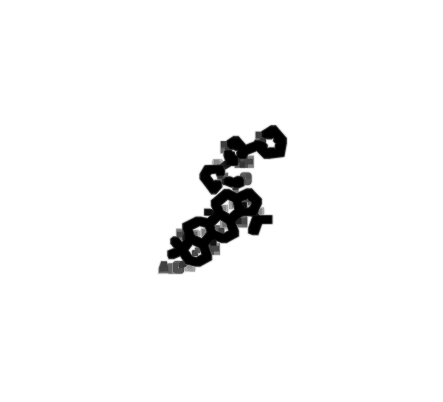 C=C(C)[C@@H]1CC[C@]2(C(=O)N3CCC[C@H]3c3ncc(-c4ccccn4)[nH]3)CC[C@]3(C)[C@H](CC[C@@H]4[C@@]5(C)CC[C@H](OC(C)=O)C(C)(C)[C@@H]5CC[C@]43C)[C@@H]12